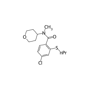 CCCSc1cc(Cl)ccc1C(=O)N(C)C1CCOCC1